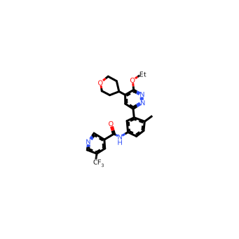 CCOc1nnc(-c2cc(NC(=O)c3cncc(C(F)(F)F)c3)ccc2C)cc1C1CCOCC1